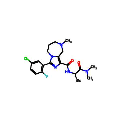 CN1CCCn2c(-c3cc(Cl)ccc3F)nc(C(=O)NC(C(=O)N(C)C)C(C)(C)C)c2C1